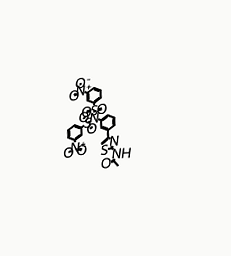 CC(=O)Nc1nc(-c2cccc(N(S(=O)(=O)c3cccc([N+](=O)[O-])c3)S(=O)(=O)c3cccc([N+](=O)[O-])c3)c2)cs1